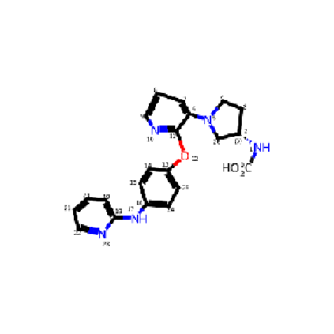 O=C(O)N[C@H]1CCN(c2cccnc2Oc2ccc(Nc3ccccn3)cc2)C1